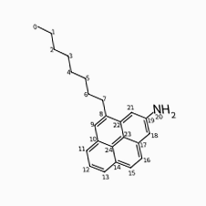 CCCCCCCCc1cc2cccc3ccc4cc(N)cc1c4c32